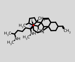 C=CC1CCC23C(C=CC4(C(C)/C(I)=C(/CCCC(C)NC)NC)C2N3CCC2C(C)CCC24C)C1